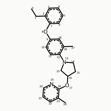 CCc1ccccc1Oc1ccc(N2CCC(Oc3ncccc3C)C2)c(C)c1